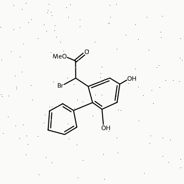 COC(=O)C(Br)c1cc(O)cc(O)c1-c1ccccc1